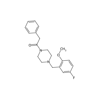 COc1ccc(F)cc1CN1CCN(C(=O)Cc2ccccc2)CC1